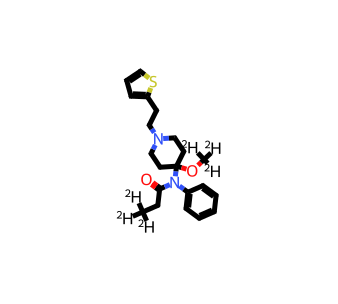 [2H]C([2H])([2H])CC(=O)N(c1ccccc1)C1(OC([2H])([2H])[2H])CCN(CCc2cccs2)CC1